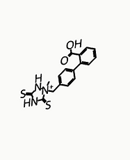 C[N+]1(Cc2ccc(-c3ccccc3C(=O)O)cc2)NC(=S)NC1=S